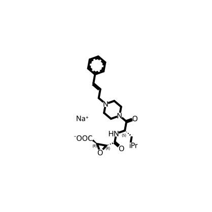 CC(C)C[C@H](NC(=O)[C@@H]1O[C@H]1C(=O)[O-])C(=O)N1CCN(CC=Cc2ccccc2)CC1.[Na+]